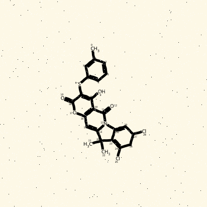 Cc1cccc(Sc2c(O)c3c(=O)n4c(cc3oc2=O)C(C)(C)C2=C(Cl)CC(Cl)C=C24)c1